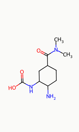 CN(C)C(=O)C1CCC(N)C(NC(=O)O)C1